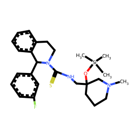 CN1CCCC(CNC(=S)N2CCc3ccccc3C2c2cccc(F)c2)(O[Si](C)(C)C)C1